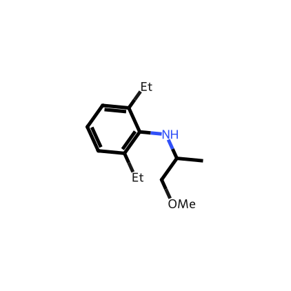 CCc1cccc(CC)c1NC(C)COC